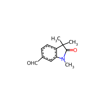 CN1C(=O)C(C)(C)c2ccc(C=O)cc21